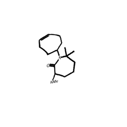 CNC1CCCC(C)(C)N(C2CCC=CCC2)C1=O